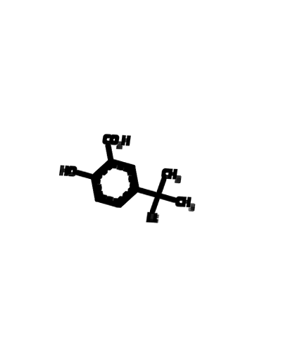 CCC(C)(C)c1ccc(O)c(C(=O)O)c1